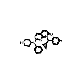 O=c1ccc2cnc(N(c3ccccc3)C3CCNCC3)nc2n1C(c1ccc(F)cc1)C1CC1